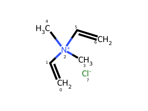 C=C[N+](C)(C)C=C.[Cl-]